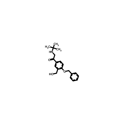 CC(C)(C)NCC(=O)c1ccc(OCc2ccccc2)c(CO)c1